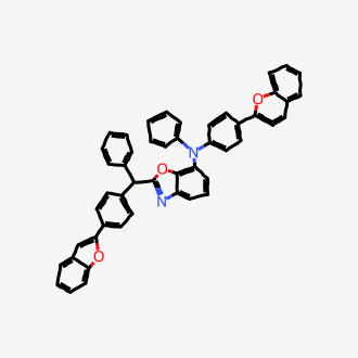 C1=Cc2ccccc2OC=1c1ccc(N(c2ccccc2)c2cccc3nc(C(c4ccccc4)c4ccc(-c5cc6ccccc6o5)cc4)oc23)cc1